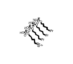 CC(C)CCCCCOP(=O)([O-])O.CC(C)CCCCCOP(=O)([O-])O.CC(C)CCCCCOP(=O)([O-])O.CC(C)CCCCCOP(=O)([O-])O.[Zr+4]